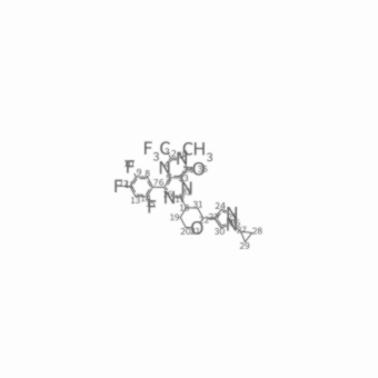 Cn1c(C(F)(F)F)nc2c(-c3cc(F)c(F)cc3F)nc([C@@H]3CCO[C@H](c4cnn(C5CC5)c4)C3)nc2c1=O